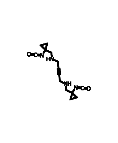 O=C=NC1(CNCC#CCNCC2(N=C=O)CC2)CC1